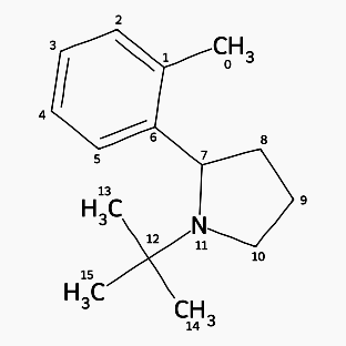 Cc1ccccc1C1CCCN1C(C)(C)C